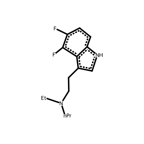 CCCN(CC)CCc1c[nH]c2ccc(F)c(F)c12